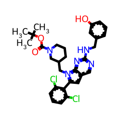 CC(C)(C)OC(=O)N1CCCC(Cn2c(-c3c(Cl)cccc3Cl)cc3cnc(NCc4cccc(O)c4)nc32)C1